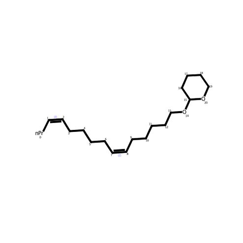 CCC/C=C\CCCC/C=C\CCCCCOC1CCCCO1